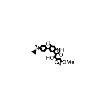 COc1cc(/C(O)=C2\C(=O)Nc3cc(Cl)c(-c4ccc(N(C)C5CC5)cc4)cc32)on1